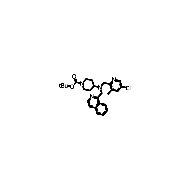 Cc1cc(Cl)cnc1CN(Cc1nccc2ccccc12)C1CCN(C(=O)OC(C)(C)C)CC1